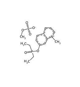 CCP(=O)(CC)Oc1ccc2ccc[n+](C)c2c1.COS(=O)(=O)[O-]